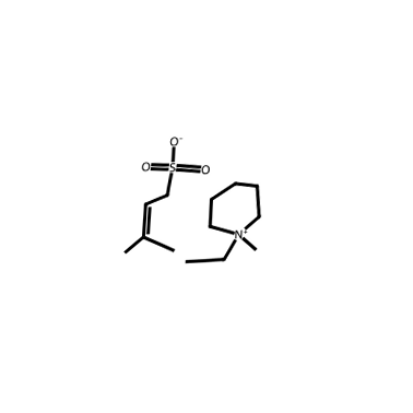 CC(C)=CCS(=O)(=O)[O-].CC[N+]1(C)CCCCC1